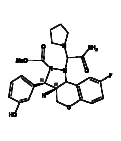 COC(=O)N1[C@H](c2cccc(O)c2)[C@H]2COc3ccc(F)cc3C2N1C(C(N)=O)N1CCCC1